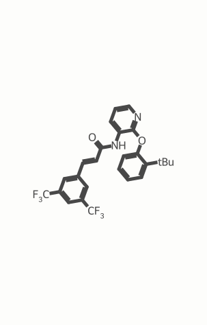 CC(C)(C)c1ccccc1Oc1ncccc1NC(=O)C=Cc1cc(C(F)(F)F)cc(C(F)(F)F)c1